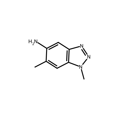 Cc1cc2c(cc1N)nnn2C